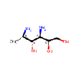 N[C@H]([C@H](O)[C@@H](N)C=O)[C@H](O)CO